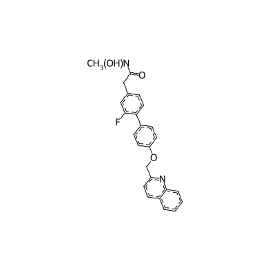 CN(O)C(=O)Cc1ccc(-c2ccc(OCc3ccc4ccccc4n3)cc2)c(F)c1